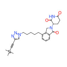 C[Si](C)(C)C#Cc1cn(CCCCCc2cccc3c2CN(C2CCC(=O)NC2=O)C3=O)nn1